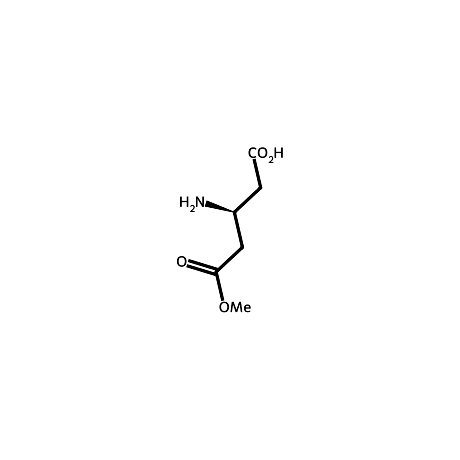 COC(=O)C[C@@H](N)CC(=O)O